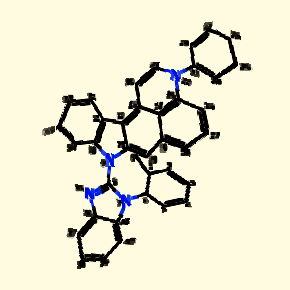 CC1C=CC=CC1n1c(-n2c3c(c4c5c6c(cccc6cc42)N(C2=CCCC=C2)C=C5)C=CCC3)nc2ccccc21